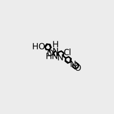 OC1=CC=CC(OC2NC3=C(N=C(C4C=CC(N5CCOCC5)=CC4)C(Cl)C3)N2)C1